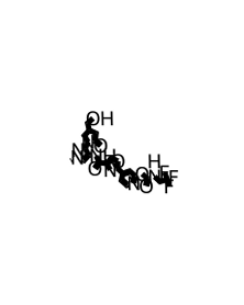 Cn1cc(NC(=O)c2coc(-c3ccnc(OC(=O)NCC(F)(F)F)c3)n2)c(N2CC(CO)CC2=O)n1